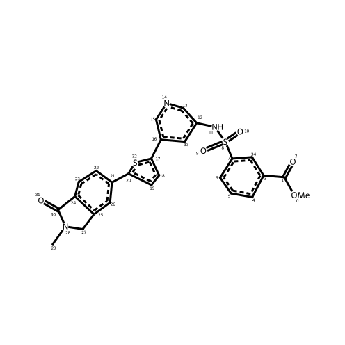 COC(=O)c1cccc(S(=O)(=O)Nc2cncc(-c3ccc(-c4ccc5c(c4)CN(C)C5=O)s3)c2)c1